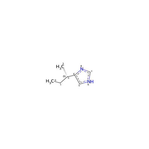 CC[C@H](C)c1c[nH]cn1